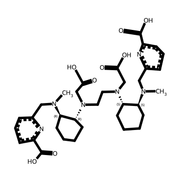 CN(Cc1cccc(C(=O)O)n1)[C@@H]1CCCC[C@H]1N(CCN(CC(=O)O)[C@H]1CCCC[C@@H]1N(C)Cc1cccc(C(=O)O)n1)CC(=O)O